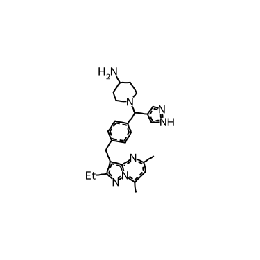 CCc1nn2c(C)cc(C)nc2c1Cc1ccc(C(c2cn[nH]c2)N2CCC(N)CC2)cc1